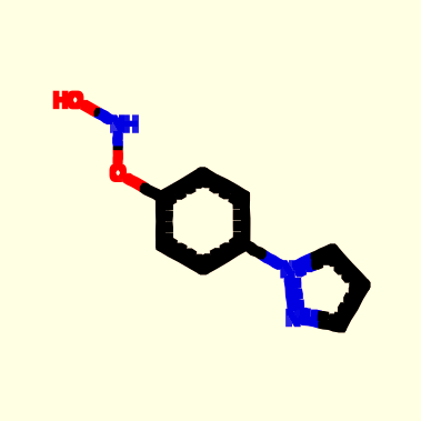 ONOc1ccc(-n2cccn2)cc1